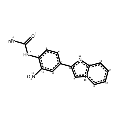 CCCC(=O)Nc1ccc(-c2cn3ccccc3n2)cc1[N+](=O)[O-]